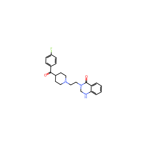 O=C(c1ccc(F)cc1)C1CCN(CCN2CNc3ccccc3C2=O)CC1